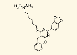 CN(C)CCCCCCSc1nc(-c2ccc3c(c2)OCO3)nc2c1Cc1ccccc1O2